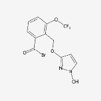 O=C(Br)c1cccc(OC(F)(F)F)c1COc1ccn(O)n1